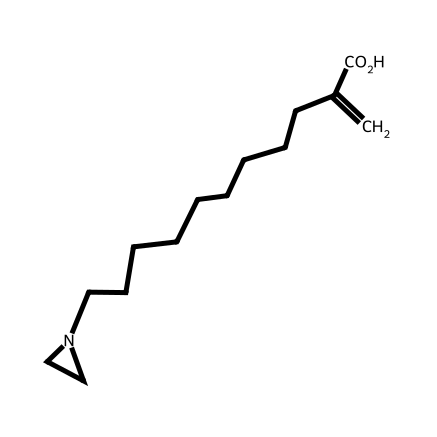 C=C(CCCCCCCCCN1CC1)C(=O)O